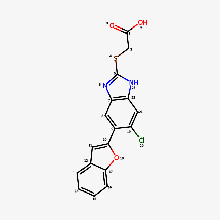 O=C(O)CSc1nc2cc(-c3cc4ccccc4o3)c(Cl)cc2[nH]1